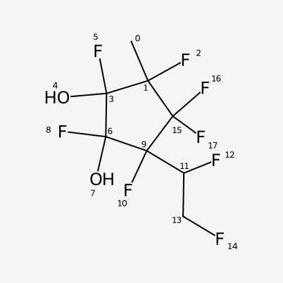 CC1(F)C(O)(F)C(O)(F)C(F)(C(F)CF)C1(F)F